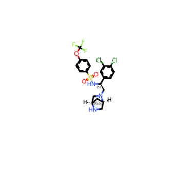 O=S(=O)(N[C@H](CN1C[C@H]2C[C@@H]1CN2)c1ccc(Cl)c(Cl)c1)c1ccc(OC(F)(F)F)cc1